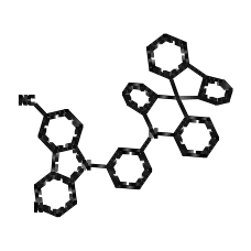 N#Cc1ccc2c(c1)c1cnccc1n2-c1cccc(N2c3ccccc3C3(c4ccccc4-c4ccccc43)c3ccccc32)c1